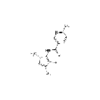 Cn1nc(C(F)(F)F)c(F)c1NC(=O)c1ccc(C(F)(F)F)nc1